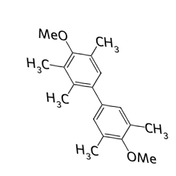 COc1c(C)cc(-c2cc(C)c(OC)c(C)c2C)cc1C